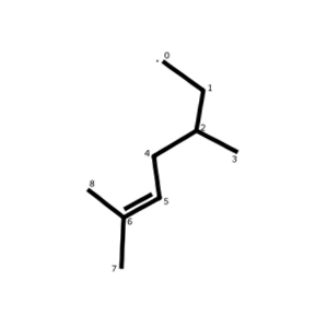 [CH2]CC(C)CC=C(C)C